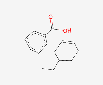 CCC1CC=CCC1.O=C(O)c1ccccc1